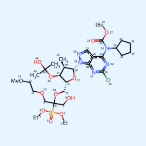 CCOP(=O)(OCC)C(CO)(COCCOC)OC[C@H]1O[C@@H](n2ncc3c(N(C(=O)OC(C)(C)C)C4CCCC4)nc(Cl)nc32)[C@H](C)[C@@H]1OC(C)(C)O